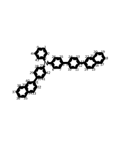 c1ccc(N(c2ccc(-c3ccc(-c4ccc5ccccc5c4)cc3)cc2)c2ccc(-c3ccc4ccccc4c3)cc2)cc1